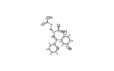 O=C(O)CC[C@@H]1N=C(c2ccccn2)c2cc(Br)ccc2NC1=O